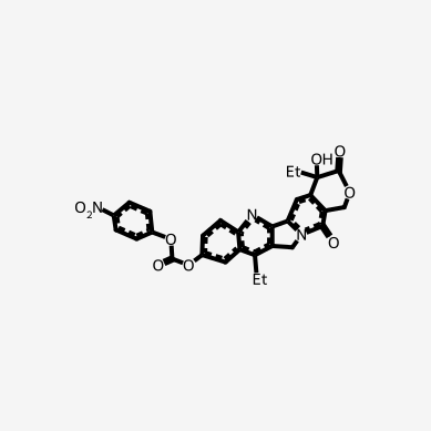 CCc1c2c(nc3ccc(OC(=O)Oc4ccc([N+](=O)[O-])cc4)cc13)-c1cc3c(c(=O)n1C2)COC(=O)C3(O)CC